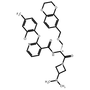 CN(C)C1CN(C(=O)[C@@H](COCc2ccc3c(c2)OCCO3)NC(=O)c2cccnc2Oc2ccc(C(F)(F)F)cc2Cl)C1